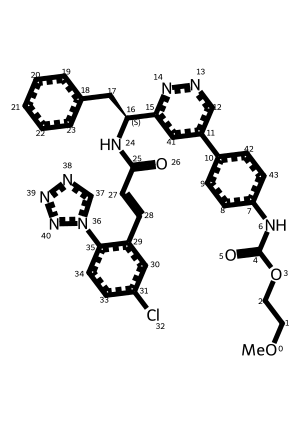 COCCOC(=O)Nc1ccc(-c2cnnc([C@H](Cc3ccccc3)NC(=O)C=Cc3cc(Cl)ccc3-n3cnnn3)c2)cc1